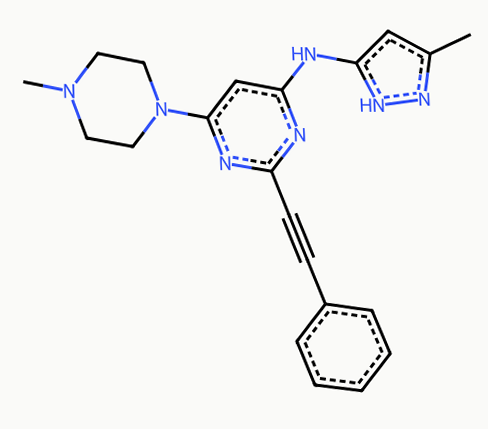 Cc1cc(Nc2cc(N3CCN(C)CC3)nc(C#Cc3ccccc3)n2)[nH]n1